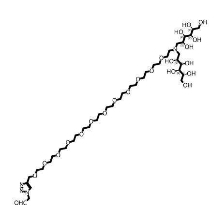 O=CCn1cc(COCCOCCOCCOCCOCCOCCOCCOCCOCCOCCOCCOCCN(C[C@H](O)[C@@H](O)[C@H](O)[C@H](O)CO)C[C@H](O)[C@@H](O)[C@H](O)[C@H](O)CO)nn1